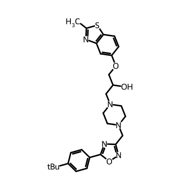 Cc1nc2cc(OCC(O)CN3CCN(Cc4noc(-c5ccc(C(C)(C)C)cc5)n4)CC3)ccc2s1